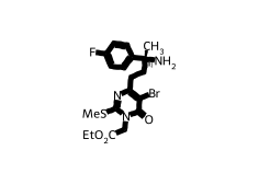 CCOC(=O)Cn1c(SC)nc(CC[C@@](C)(N)c2ccc(F)cc2)c(Br)c1=O